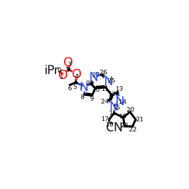 CC(C)OC(=O)OC(C)n1ccc2c(-c3cnn(C(CC#N)C4CCCC4)c3)ncnc21